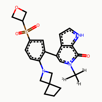 [2H]C([2H])([2H])n1cc(-c2cc(S(=O)(=O)C3COC3)ccc2N2CC3(CCC3)C2)c2cc[nH]c2c1=O